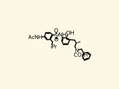 CC(=O)Nc1ccc(S(=O)(=O)Nc2cccc(C[C@@H](C)CN(Cc3ccccc3)C(=O)O)c2O)c(CC(C)C)c1